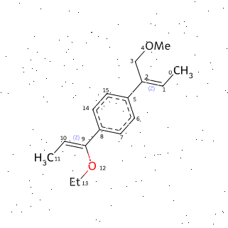 C/C=C(\COC)c1ccc(/C(=C/C)OCC)cc1